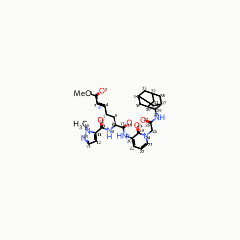 COC(=O)/C=C/CC[C@H](NC(=O)c1ccnn1C)C(=O)Nc1cccn(CC(=O)NC2C3CC4CC(C3)CC2C4)c1=O